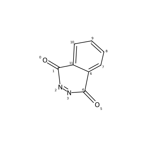 O=C1N=NC(=O)c2cc[c]cc21